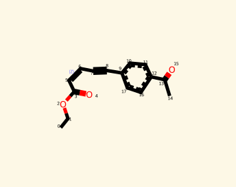 CCOC(=O)/C=C\C#Cc1ccc(C(C)=O)cc1